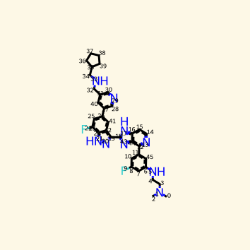 CN(C)CCNc1cc(F)cc(-c2nccc3[nH]c(-c4n[nH]c5c(F)cc(-c6cncc(CNCC7CCCC7)c6)cc45)nc23)c1